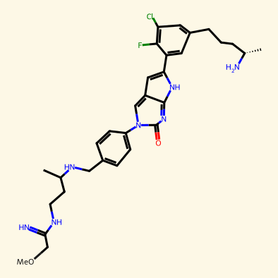 COCC(=N)NCCC(C)NCc1ccc(-n2cc3cc(-c4cc(CCC[C@H](C)N)cc(Cl)c4F)[nH]c3nc2=O)cc1